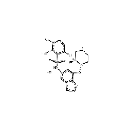 Cc1c(Cl)ccc(Cl)c1S(=O)(=O)Nc1cc(O[C@H]2CCNC[C@@H]2F)c2occc2c1.Cl